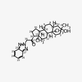 C[C@@]1(O)CC[C@@]2(C)[C@H](CC[C@@H]3[C@@H]2CC[C@]2(C)[C@@H](C(=O)Cn4nc5ccccc5n4)CC[C@@H]32)C1